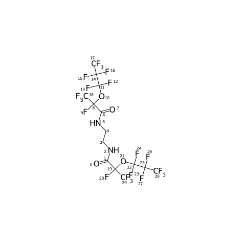 O=C(NCCNC(=O)C(F)(OC(F)(F)C(F)(F)C(F)(F)F)C(F)(F)F)C(F)(OC(F)(F)C(F)(F)C(F)(F)F)C(F)(F)F